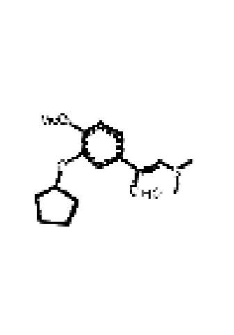 COc1ccc(C(C=O)=CN(C)C)cc1OC1CCCC1